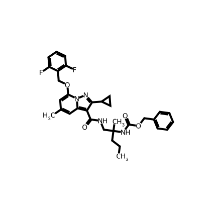 CCCC(C)(CNC(=O)c1c(C2CC2)nn2c(OCc3c(F)cccc3F)cc(C)cc12)NC(=O)OCc1ccccc1